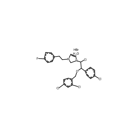 Br.Fc1ccc(CCN2C=CN(C(Cl)C(OCc3ccc(Cl)cc3Cl)c3ccc(Cl)cc3)C2)cc1.O